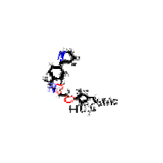 CSC(Cc1ccc(OCCO/N=C(/C)c2ccc(-c3ccccn3)cc2)cc1)C(=O)O